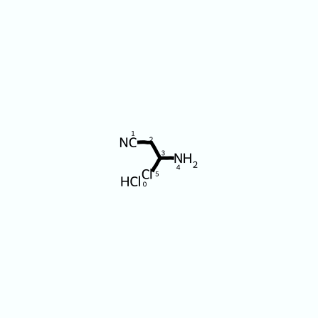 Cl.N#CCC(N)Cl